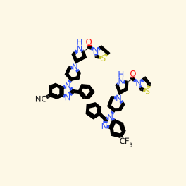 N#Cc1ccc2c(c1)nc(-c1ccccc1)n2C1CCN([C@@H]2CN[C@H](C(=O)N3CCSC3)C2)CC1.O=C([C@@H]1C[C@H](N2CCC(n3c(-c4ccccc4)nc4cc(C(F)(F)F)ccc43)CC2)CN1)N1CCSC1